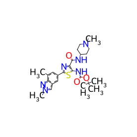 Cc1cc(-c2nc(C(=O)NC3CCN(C)CC3)c(NC(=O)OC(C)(C)C)s2)cc2cn(C)nc12